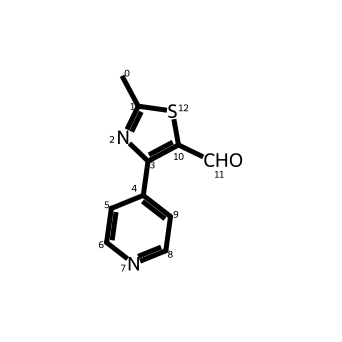 Cc1nc(-c2ccncc2)c(C=O)s1